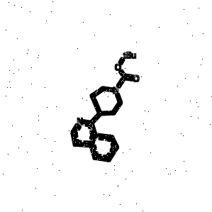 CC(C)(C)OC(=O)N1CCC(c2nccc3ccccc23)CC1